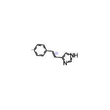 [c]1ccc(/C=C/c2c[nH]cn2)cc1